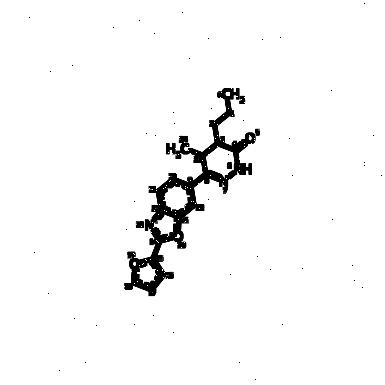 CCCC1C(=O)NN=C(c2ccc3nc(-c4ccco4)oc3c2)C1C